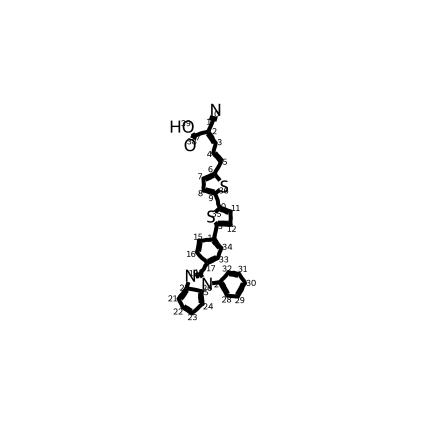 N#C/C(=C/C=C/c1ccc(-c2ccc(-c3ccc(-c4nc5ccccc5n4-c4ccccc4)cc3)s2)s1)C(=O)O